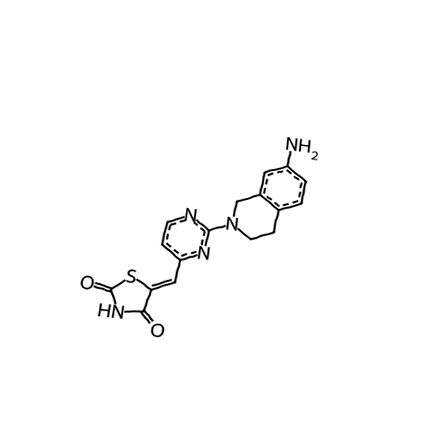 Nc1ccc2c(c1)CN(c1nccc(/C=C3\SC(=O)NC3=O)n1)CC2